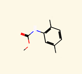 CC(=O)Oc1ccc(C(=O)O)cc1NC(=O)OC(C)(C)C